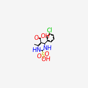 CC1=C(C(=O)O)C(c2cccc(Cl)c2)NC(S(=O)(=O)O)N1